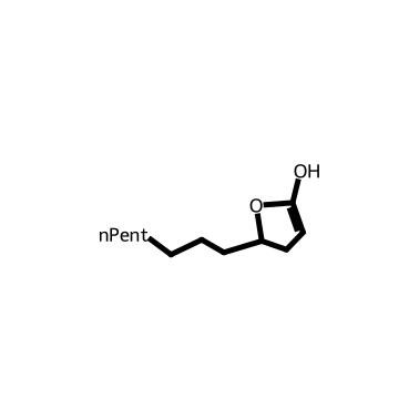 CCCCCCCCC1CC=C(O)O1